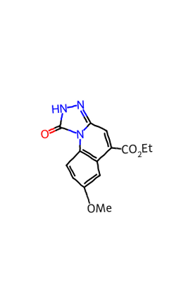 CCOC(=O)c1cc2n[nH]c(=O)n2c2ccc(OC)cc12